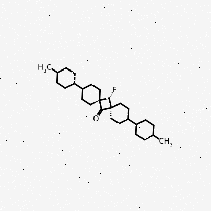 CC1CCC(C2CC[C@]3(CC2)C(=O)[C@@]2(CCC(C4CCC(C)CC4)CC2)[C@H]3F)CC1